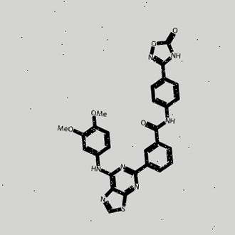 COc1ccc(Nc2nc(-c3cccc(C(=O)Nc4ccc(-c5noc(=O)[nH]5)cc4)c3)nc3scnc23)cc1OC